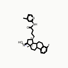 Cc1ccnc(NC(=O)CCC[C@@H]2C/C(=N\O)[C@@]3(C)CCC4c5cccc(F)c5CCC4C23)c1